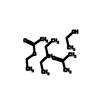 CC(C)=O.CCNCC.CCO.CCOC(C)=O